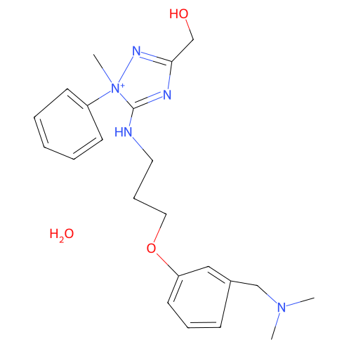 CN(C)Cc1cccc(OCCCNC2=NC(CO)=N[N+]2(C)c2ccccc2)c1.O